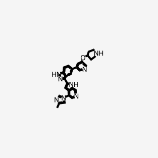 Cc1cn(-c2cncc3[nH]c(-c4n[nH]c5ccc(-c6cncc(OC7CCNCC7)c6)cc45)cc23)cn1